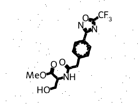 COC(=O)C(CO)NC(=O)Cc1ccc(-c2noc(C(F)(F)F)n2)cc1